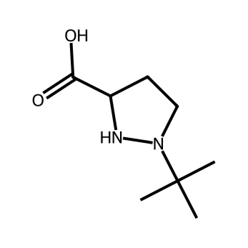 CC(C)(C)N1CCC(C(=O)O)N1